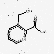 O=C(O)c1ncccc1CO